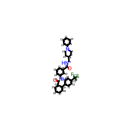 O=C(NCC1CCN(c2ccccc2)CC1)c1cccc(NC(=O)c2ccccc2-c2ccc(C(F)(F)F)cc2)c1